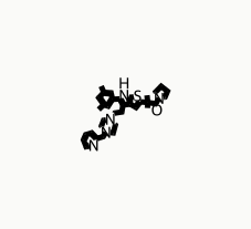 Cc1cc(C)cc(-c2[nH]c3sc(C(C)(C)C(=O)N4CCCC4)cc3c2CCN2CCN(Cc3ccccn3)CC2)c1